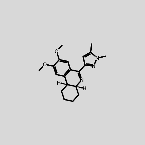 COc1cc2c(cc1OC)[C@H]1CCCC[C@H]1N=C2c1cc(C)n(C)n1